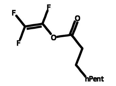 CCCCCCCC(=O)OC(F)=C(F)F